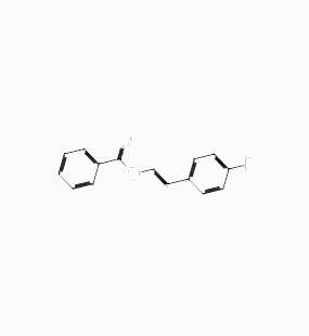 O=C(O/C=C/c1ccc(F)cc1)c1ccccc1